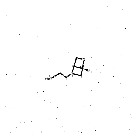 CNCCN1C[C@H]2OCC21